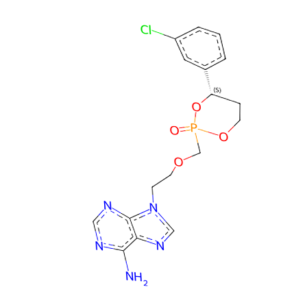 Nc1ncnc2c1ncn2CCOCP1(=O)OCC[C@@H](c2cccc(Cl)c2)O1